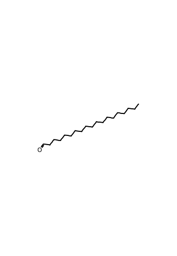 CCCCCCCCCCCCCCCCCCC=O